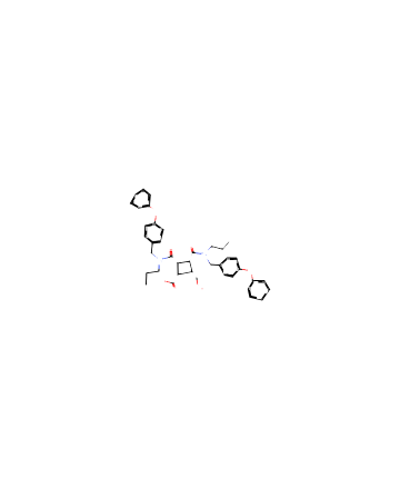 CCCN(Cc1ccc(Oc2ccccc2)cc1)C(=O)[C@H]1[C@@H](C(=O)O)[C@H](CO)[C@@H]1C(=O)N(CCC)Cc1ccc(Oc2ccccc2)cc1